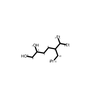 CCC(CC)C(CCC(O)CO)CC(C)C